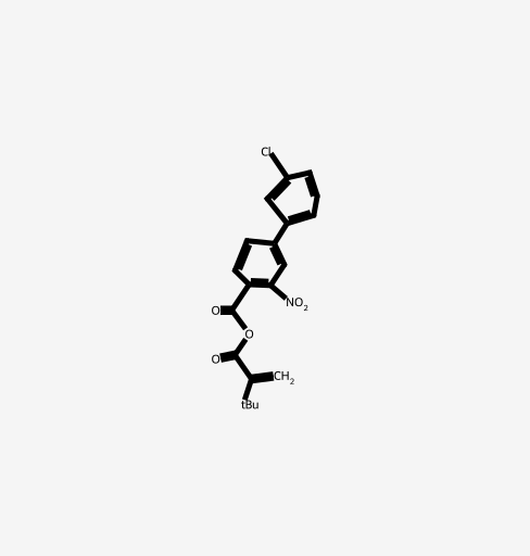 C=C(C(=O)OC(=O)c1ccc(-c2cccc(Cl)c2)cc1[N+](=O)[O-])C(C)(C)C